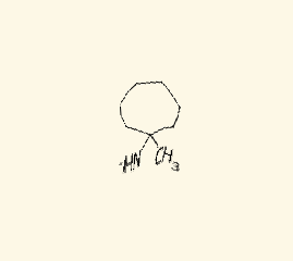 CC1([NH])CCCCCC1